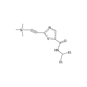 CCC(CC)NC(=O)c1cnc(C#C[Si](C)(C)C)s1